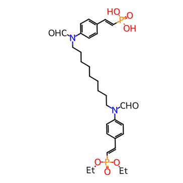 CCOP(=O)(C=Cc1ccc(N(C=O)CCCCCCCCCN(C=O)c2ccc(C=CP(=O)(O)O)cc2)cc1)OCC